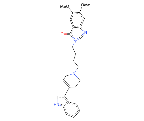 COc1cc2ncn(CCCCN3CC=C(c4c[nH]c5ccccc45)CC3)c(=O)c2cc1OC